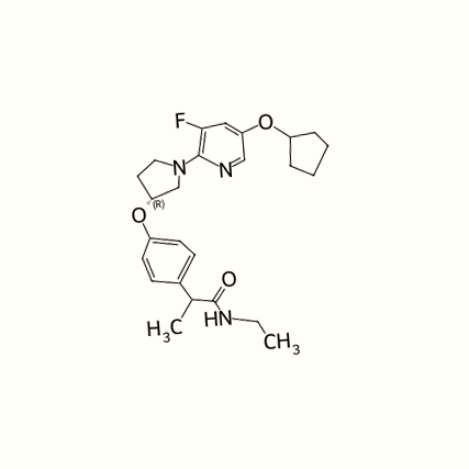 CCNC(=O)C(C)c1ccc(O[C@@H]2CCN(c3ncc(OC4CCCC4)cc3F)C2)cc1